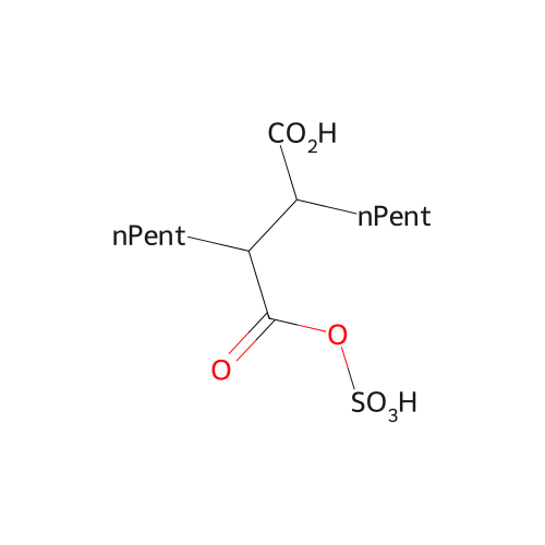 CCCCCC(C(=O)O)C(CCCCC)C(=O)OS(=O)(=O)O